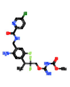 CC(c1cc(N)c(CNC(=O)c2ccc(Cl)cn2)cc1F)C(F)(F)COC(=N)NC(=O)OC(C)(C)C